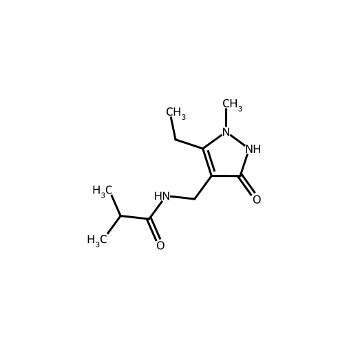 CCc1c(CNC(=O)C(C)C)c(=O)[nH]n1C